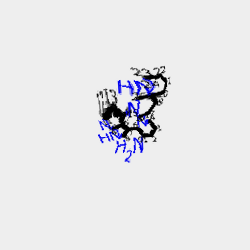 Nc1cccnc1-c1c[nH]c2nccc(N3CCCC4(CCCCN4)C3)c12